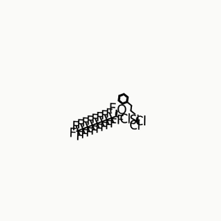 FC(Oc1ccccc1CCC[Si](Cl)(Cl)Cl)=C(F)C(F)(F)C(F)(F)C(F)(F)C(F)(F)C(F)(F)C(F)(F)C(F)(F)C(F)(F)F